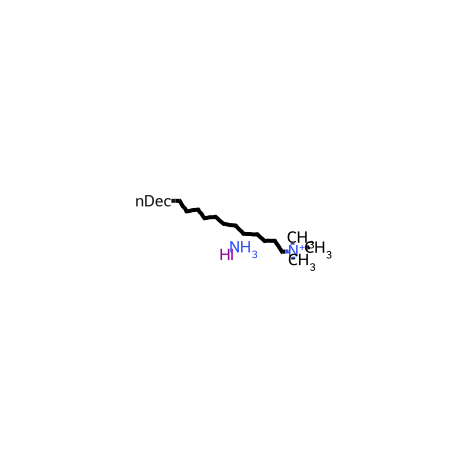 CCCCCCCCCCCCCCCCCCCCCC[N+](C)(C)C.I.N